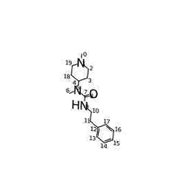 CN1CCC(N(C)C(=O)NCCc2ccccc2)CC1